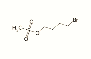 CS(=O)(=O)OCCCCBr